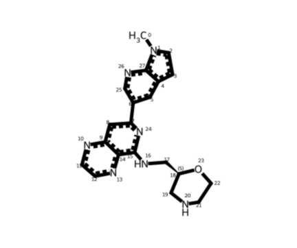 Cn1ccc2cc(-c3cc4nccnc4c(NC[C@@H]4CNCCO4)n3)cnc21